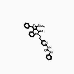 CNc1oc(-c2ccccc2)c(-c2ccccc2)c1C(=N)NCCc1ccc(NC(=O)Nc2ccccc2)nc1